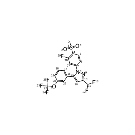 CS(=O)(=O)c1ccc(-n2nc(C(F)F)cc2-c2cccc(OC(F)(F)F)c2)cc1F